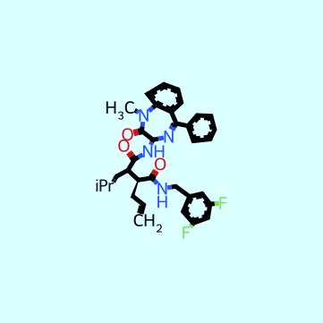 C=CC[C@H](C(=O)NCc1cc(F)cc(F)c1)C(CC(C)C)C(=O)NC1N=C(c2ccccc2)c2ccccc2N(C)C1=O